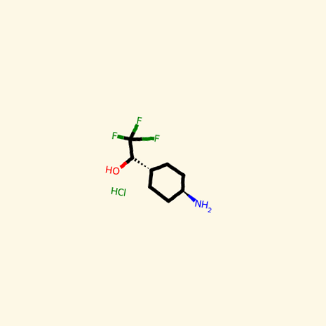 Cl.N[C@H]1CC[C@H](C(O)C(F)(F)F)CC1